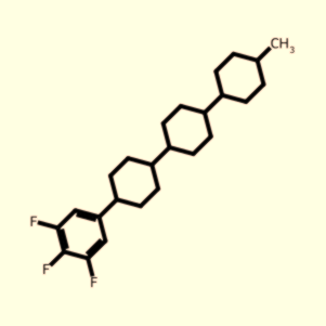 CC1CCC(C2CCC(C3CCC(c4cc(F)c(F)c(F)c4)CC3)CC2)CC1